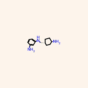 Nc1cccc(NC[C@H]2CC[C@H](N)CC2)c1